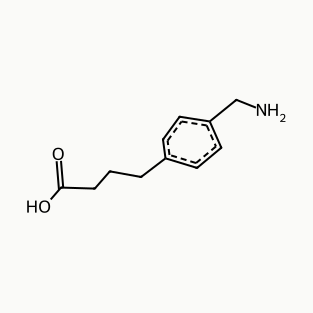 NCc1ccc(CCCC(=O)O)cc1